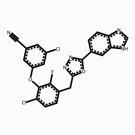 N#Cc1cc(Cl)cc(Oc2c(Cl)ccc(Cc3nnc(-c4ccc5nc[nH]c5c4)o3)c2F)c1